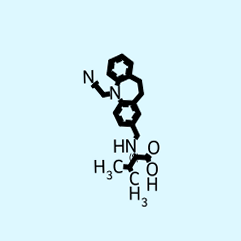 CC(C)[C@H](NCc1ccc2c(c1)CCc1ccccc1N2CC#N)C(=O)O